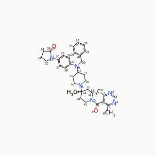 Cc1ncnc(C)c1C(=O)N1CCC(C)(N2CCC(N(Cc3ccccc3)c3ccc(N4CCCC4=O)cc3)CC2)CC1